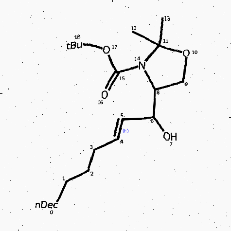 CCCCCCCCCCCCC/C=C/C(O)C1COC(C)(C)N1C(=O)OC(C)(C)C